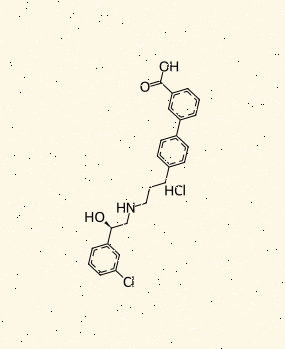 Cl.O=C(O)c1cccc(-c2ccc(CCCNC[C@H](O)c3cccc(Cl)c3)cc2)c1